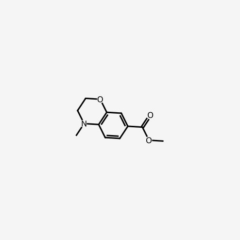 COC(=O)c1ccc2c(c1)OCCN2C